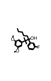 CCCCCC(O)(c1cccc(F)c1)C(C)(C)c1cc(OC)cc(OC)c1